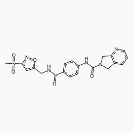 CS(=O)(=O)c1cc(CNC(=O)c2ccc(NC(=O)N3Cc4cccnc4C3)cc2)on1